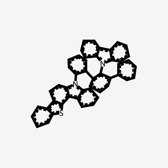 c1ccc(-c2cccc(-c3ccccc3-n3c4ccccc4c4c5sc6ccccc6c5ccc43)c2-n2c3ccccc3c3ccccc32)cc1